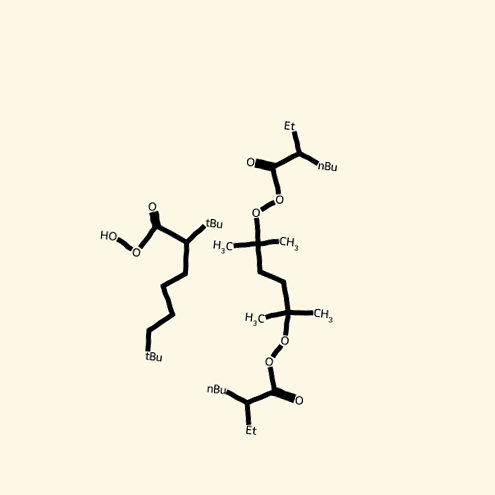 CC(C)(C)CCCCC(C(=O)OO)C(C)(C)C.CCCCC(CC)C(=O)OOC(C)(C)CCC(C)(C)OOC(=O)C(CC)CCCC